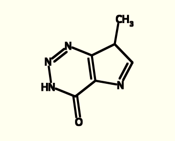 CC1C=Nc2c1nn[nH]c2=O